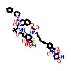 CC(C)(C)[C@H](NC(=O)c1cc2cc(C(F)(F)P(=O)(O)O)ccc2s1)C(=O)N1Cc2cc(OCC(=O)NCCCCC#Cc3ccc4c(c3)C(=O)N(C3CCC(=O)NC3=O)C4=O)ccc2C[C@H]1C(=O)N1CCC[C@H](c2ccccc2)C1